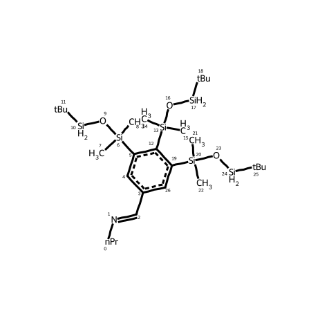 CCCN=Cc1cc([Si](C)(C)O[SiH2]C(C)(C)C)c([Si](C)(C)O[SiH2]C(C)(C)C)c([Si](C)(C)O[SiH2]C(C)(C)C)c1